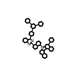 c1ccc(-c2cc(-c3ccccc3)cc(-c3ccc(-c4nc(-c5cccc6c(-n7c8ccc9ccccc9c8c8c9ccccc9c(-c9ccccc9)cc87)cccc56)nc5ccccc45)cc3)c2)cc1